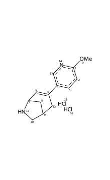 COc1ccc(C2=CC3CC(CN3)C2)cn1.Cl.Cl